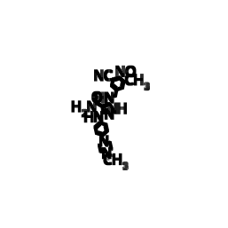 Cc1cc(CNc2[nH]nc(Nc3ccc(N4CCN(C)CC4)cc3)c2C(N)=O)cc(C#N)c1N=O